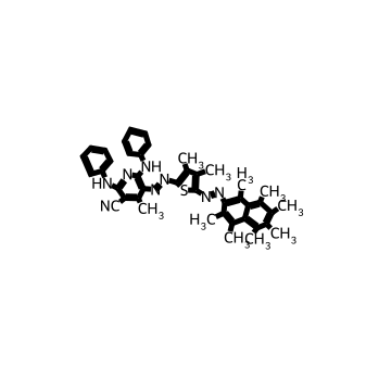 Cc1c(N=Nc2c(Nc3ccccc3)nc(Nc3ccccc3)c(C#N)c2C)sc(/N=N/c2c(C)c(C)c3c(C)c(C)c(C)c(C)c3c2C)c1C